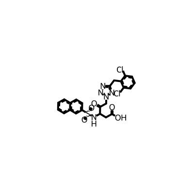 O=C(O)CC(NS(=O)(=O)c1ccc2ccccc2c1)C(=O)Cn1nnc(Cc2c(Cl)cccc2Cl)n1